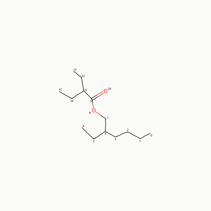 CCCCC(CC)COC(=O)C(CC)CC